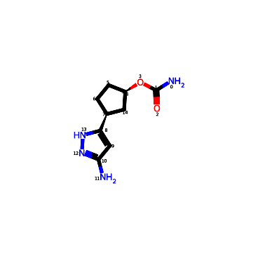 NC(=O)O[C@@H]1CC[C@H](c2cc(N)n[nH]2)C1